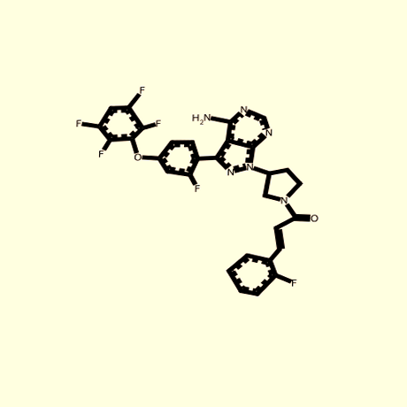 Nc1ncnc2c1c(-c1ccc(Oc3c(F)c(F)cc(F)c3F)cc1F)nn2C1CCN(C(=O)C=Cc2ccccc2F)C1